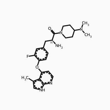 Cc1c[nH]c2nccc(Oc3ccc(C[C@H](N)C(=O)N4CCC(N(C)C)CC4)cc3F)c12